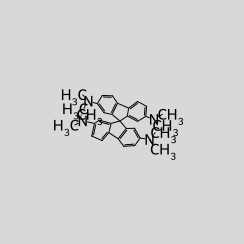 CN(C)c1ccc2c(c1)C1(c3cc(N(C)C)ccc3-2)c2cc(N(C)C)ccc2-c2ccc(N(C)C)cc21